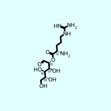 N=C(N)NCCC[C@H](N)C(=O)O[C@@H](C=O)[C@@H](O)[C@H](O)[C@H](O)CO